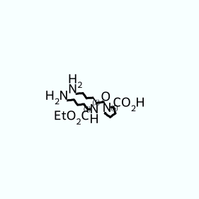 CCOC(=O)[C@H](CCCCN)N[C@@H](CCCCN)C(=O)N1CCC[C@H]1C(=O)O